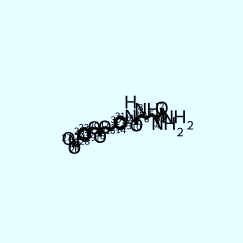 NC(=O)C(N)CC[C@@H](N)C(=O)Nc1ccc(COC(=O)Oc2ccc([N+](=O)[O-])cc2)cc1